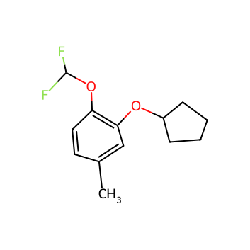 Cc1ccc(OC(F)F)c(OC2CCCC2)c1